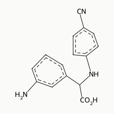 N#Cc1ccc(NC(C(=O)O)c2cccc(N)c2)cc1